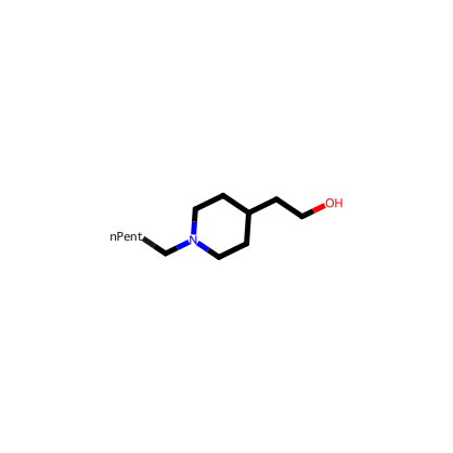 CCCCCCN1CCC(CCO)CC1